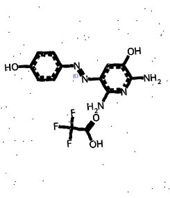 Nc1nc(N)c(/N=N/c2ccc(O)cc2)cc1O.O=C(O)C(F)(F)F